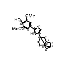 COc1cc(-c2ncc(C34CCC5CC(CC5C3)C4)[nH]2)cc(OC)c1O